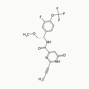 CC#Cc1nc(C(=O)N[C@H](COC)c2ccc(OC(F)(F)F)c(F)c2)cc(=O)[nH]1